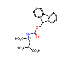 O=C(N[C@@H](CC(C(=O)O)C(=O)O)C(=O)O)OCC1c2ccccc2-c2ccccc21